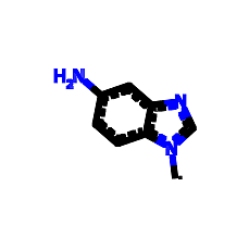 [CH2]n1cnc2cc(N)ccc21